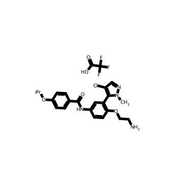 CC(C)Oc1ccc(C(=O)Nc2ccc(OCCN)c(-c3c(Cl)cnn3C)c2)cc1.O=C(O)C(F)(F)F